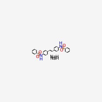 O=S(=O)(Nc1ccc(C=Cc2ccc(NS(=O)(=O)c3ccccc3)cc2)cc1)c1ccccc1.[NaH].[NaH]